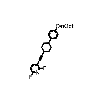 CCCCCCCCOc1ccc(C2CCC(C#Cc3ccc(F)nc3F)CC2)cc1